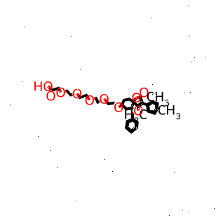 Cc1cc(C)c(C2=C(OCc3ccccc3)C3(CCC(OCCOCCOCCOCCOCC(=O)O)CC3)OC2=O)c(C)c1